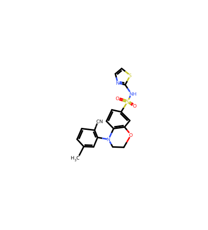 Cc1ccc(C#N)c(N2CCOc3cc(S(=O)(=O)Nc4nccs4)ccc32)c1